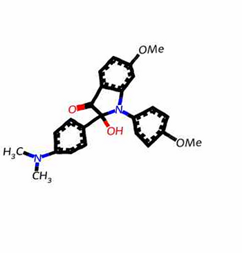 COc1ccc(N2c3cc(OC)ccc3C(=O)C2(O)c2ccc(N(C)C)cc2)cc1